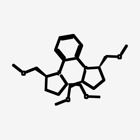 COC[C@@H]1CC[C@@H](COC)P1c1ccccc1P1[C@H](COC)CC[C@H]1COC